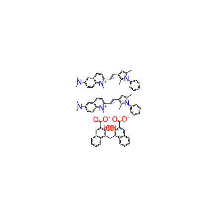 Cc1cc(/C=C/c2ccc3cc(N(C)C)ccc3[n+]2C)c(C)n1-c1ccccc1.Cc1cc(/C=C/c2ccc3cc(N(C)C)ccc3[n+]2C)c(C)n1-c1ccccc1.O=C([O-])c1cc2ccccc2c(Cc2c(O)c(C(=O)[O-])cc3ccccc23)c1O